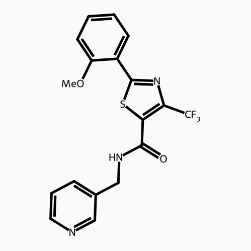 COc1ccccc1-c1nc(C(F)(F)F)c(C(=O)NCc2cccnc2)s1